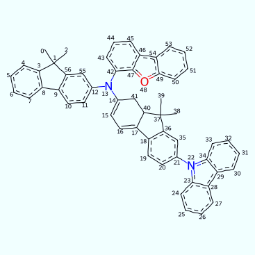 CC1(C)c2ccccc2-c2ccc(N(C3=CC=C4c5ccc(-n6c7ccccc7c7ccccc76)cc5C(C)(C)C4C3)c3cccc4c3oc3ccccc34)cc21